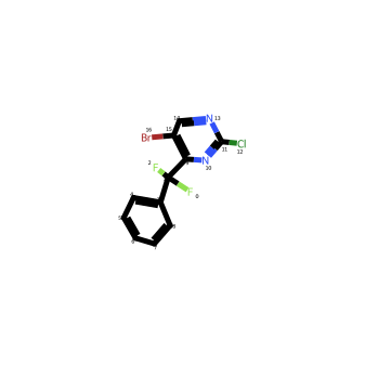 FC(F)(c1ccccc1)c1nc(Cl)ncc1Br